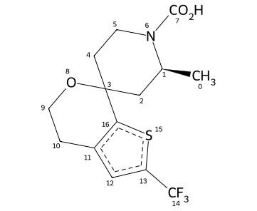 C[C@H]1CC2(CCN1C(=O)O)OCCc1cc(C(F)(F)F)sc12